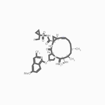 COc1ccc2c(O[C@@H]3C[C@H]4C(=O)N[C@]5(C(=O)NS(=O)(=O)C6(CF)CC6)C[C@H]5/C=C\CC[C@H](C)C[C@@H](C)[C@H](NC(=O)O)C(=O)N4C3)nc(C(F)(F)F)cc2c1